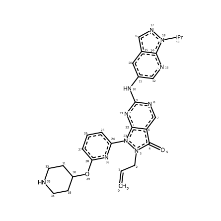 C=CCn1c(=O)c2cnc(Nc3cnc4c(cnn4C(C)C)c3)nc2n1-c1cccc(OC2CCNCC2)n1